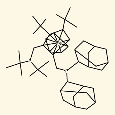 CC(C)(C)P(C[C]12[C]3(CP(C4C5CC6CC(C5)CC4C6)C4C5CC6CC(C5)CC4C6)[CH]4[C]5(C(C)(C)C)[C]1(C(C)(C)C)[Fe]43251678[CH]2[CH]1[CH]6[CH]7[CH]28)C(C)(C)C